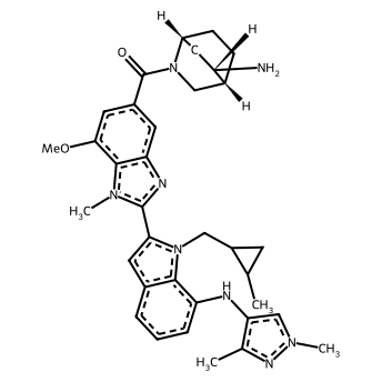 COc1cc(C(=O)N2C[C@H]3CC[C@@H]2C[C@@H]3N)cc2nc(-c3cc4cccc(Nc5cn(C)nc5C)c4n3CC3CC3C)n(C)c12